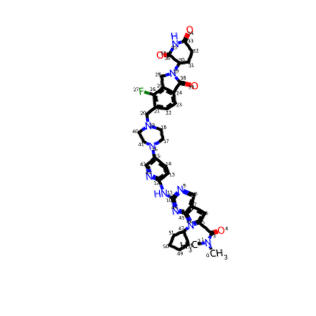 CN(C)C(=O)c1cc2cnc(Nc3ccc(N4CCN(Cc5ccc6c(c5F)CN(C5CCC(=O)NC5=O)C6=O)CC4)cn3)nc2n1C1CCCC1